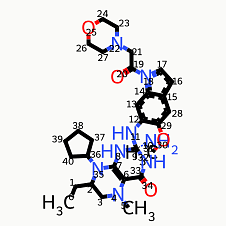 CCC1CN(C)C2=C(N[C@@](N)(Nc3cc4c(ccn4C(=O)CN4CCOCC4)cc3OC)NC2=O)N1C1CCCC1